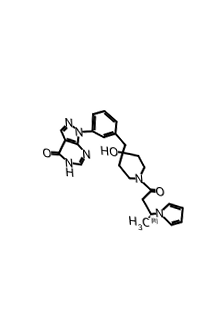 C[C@H](CC(=O)N1CCC(O)(Cc2cccc(-n3ncc4c(=O)[nH]cnc43)c2)CC1)n1cccc1